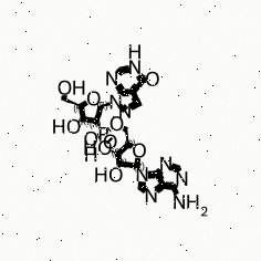 Nc1ncnc2c1ncn2[C@@H]1O[C@H](COP(=O)(O)[C@@H]2[C@H](O)[C@@H](CO)O[C@H]2n2ncc3c(=O)[nH]cnc32)[C@@H](O)[C@H]1O